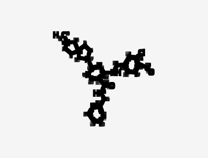 CN1CCC2(CCN(c3ncc(C(=O)NCc4ncccn4)c(NCc4ccc(C=O)c(Cl)c4)n3)C2)C1